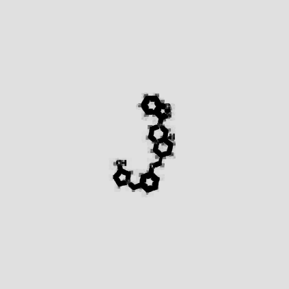 OC1CCN(Cc2cccc(OC[C@@H]3CC[C@@H]4CN(c5noc6ccccc56)CCN4C3)c2)C1